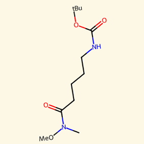 CON(C)C(=O)CCCCNC(=O)OC(C)(C)C